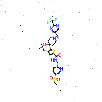 CCS(=O)(=O)c1ccc(CNC(=O)c2cc3c(s2)C2(CCN([C@@H](C)c4cnc(C(F)(F)F)nc4)CC2)OC(C)(C)C3)nc1